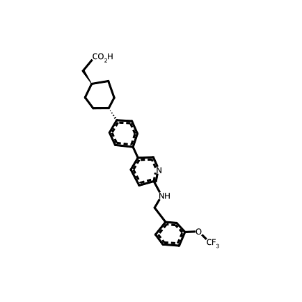 O=C(O)C[C@H]1CC[C@H](c2ccc(-c3ccc(NCc4cccc(OC(F)(F)F)c4)nc3)cc2)CC1